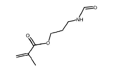 C=C(C)C(=O)OCCCNC=O